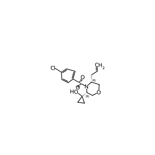 C=CC[C@@H]1COC[C@H](C2(O)CC2)N1S(=O)(=O)c1ccc(Cl)cc1